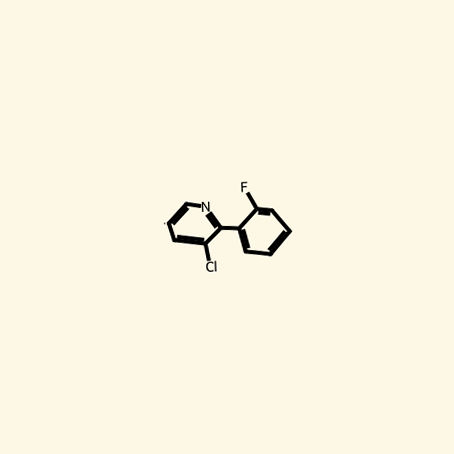 Fc1ccccc1-c1nc[c]cc1Cl